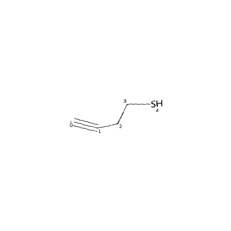 [C]#CCCS